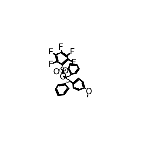 COc1ccc(S(OS(=O)(=O)c2c(F)c(F)c(F)c(F)c2F)(c2ccccc2)c2ccccc2)cc1